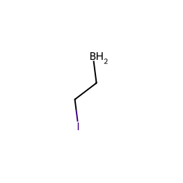 BCCI